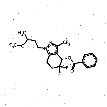 CC(CCn1nc(C(F)(F)F)c2c1CCC(F)(F)[C@H]2OC(=O)c1ccccc1)OC(F)(F)F